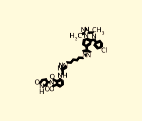 Cc1nnc2n1-c1ccc(-c3cnn(CCCCCCn4cc(CNc5cccc6c5C(=O)N(C5CCC(=O)NC5=O)C6=O)nn4)c3)cc1C(c1ccc(Cl)cc1)=N[C@H]2C